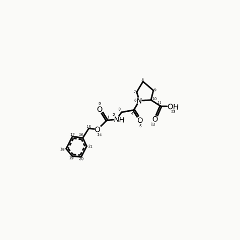 O=C(NCC(=O)N1CCCC1C(=O)O)OCc1ccccc1